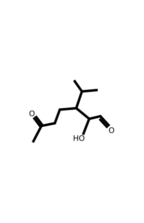 CC(=O)CCC(C(C)C)C(O)C=O